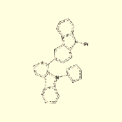 CC(C)n1c2ccccc2c2cc(-c3cccc4c5ccccc5n(-c5ccccc5)c34)ccc21